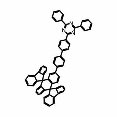 c1ccc(-c2nc(-c3ccccc3)nc(-c3ccc(-c4ccc(-c5ccc6c(c5)C5(c7ccccc7-c7ccccc75)c5ccccc5C65c6ccccc6-c6ccccc65)cc4)cc3)n2)cc1